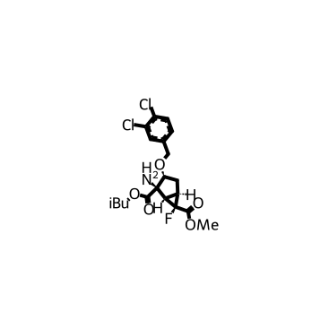 CCC(C)OC(=O)[C@@]1(N)[C@H]2[C@@H](C[C@H]1OCc1ccc(Cl)c(Cl)c1)[C@]2(F)C(=O)OC